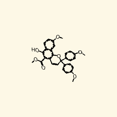 COC(=O)c1c2c(c3cc(OC)ccc3c1O)OC(c1ccc(OC)cc1)(c1ccc(OC)cc1)C=C2